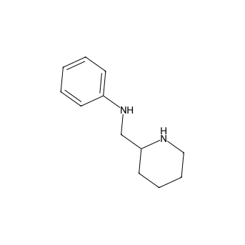 c1ccc(NCC2CCCCN2)cc1